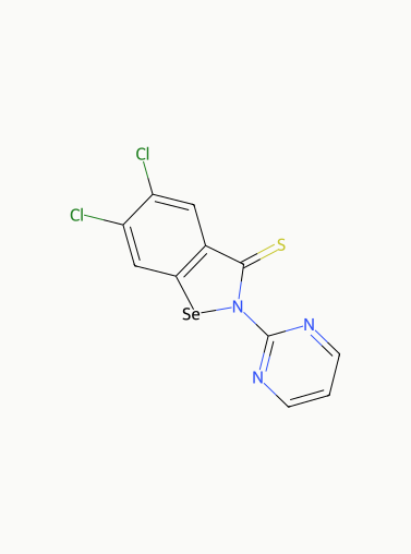 S=c1c2cc(Cl)c(Cl)cc2[se]n1-c1ncccn1